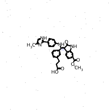 COC(=O)c1ccc2c(c1)NC(=O)/C2=C(\Nc1ccc(-c2nc(C)c[nH]2)cc1)c1cccc(CCC(=O)O)c1